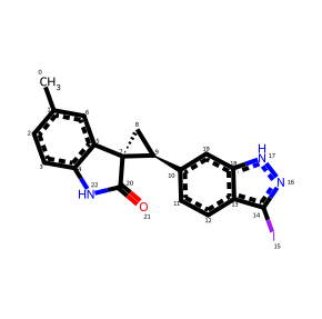 Cc1ccc2c(c1)[C@]1(C[C@H]1c1ccc3c(I)n[nH]c3c1)C(=O)N2